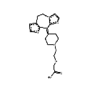 O=C(O)COCCN1CCC(=C2c3sccc3CCn3ccnc32)CC1